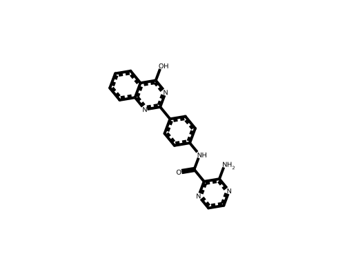 Nc1nccnc1C(=O)Nc1ccc(-c2nc(O)c3ccccc3n2)cc1